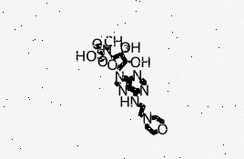 CN([C@@H]1O[C@@H](n2cnc3c(NCCN4CCOCC4)ncnc32)[C@H](O)[C@@H]1O)S(=O)(=O)O